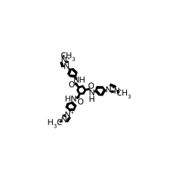 Cn1cc[n+](-c2ccc(NC(=O)C3CC(C(=O)Nc4ccc(-n5cc[n+](C)c5)cc4)CC(C(=O)Nc4ccc(-[n+]5ccn(C)c5)cc4)C3)cc2)c1